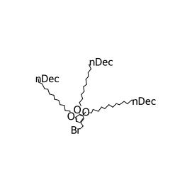 CCCCCCCCCCCCCCCCCCCCCCOc1cc(CBr)cc(OCCCCCCCCCCCCCCCCCCCCCC)c1OCCCCCCCCCCCCCCCCCCCCCC